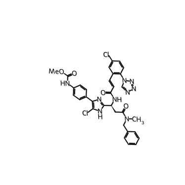 COC(=O)Nc1ccc(-c2nc([C@H](CC(=O)N(C)Cc3ccccc3)NC(=O)C=Cc3cc(Cl)ccc3-n3cnnn3)[nH]c2Cl)cc1